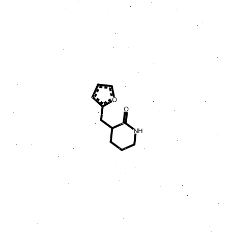 O=C1NCCCC1Cc1ccco1